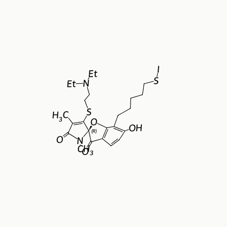 CCN(CC)CCSC1=C(C)C(=O)N(C)[C@]12Oc1c(ccc(O)c1CCCCCSI)C2=O